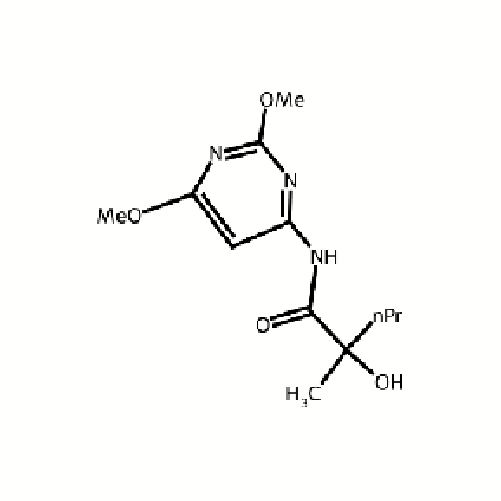 CCCC(C)(O)C(=O)Nc1cc(OC)nc(OC)n1